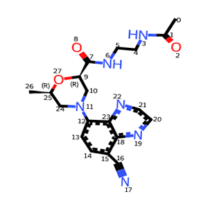 CC(=O)NCCNC(=O)[C@H]1CN(c2ccc(C#N)c3nccnc23)C[C@@H](C)O1